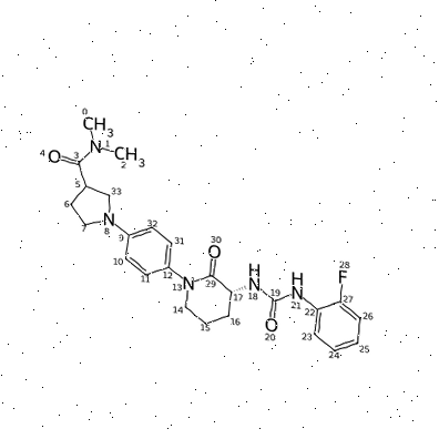 CN(C)C(=O)C1CCN(c2ccc(N3CCC[C@@H](NC(=O)Nc4ccccc4F)C3=O)cc2)C1